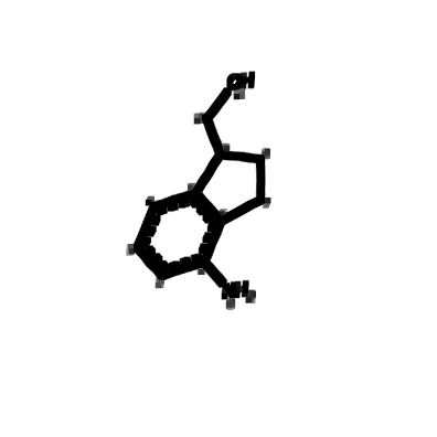 Nc1cccc2c1CCC2CO